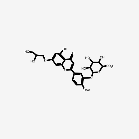 COc1ccc(-c2cc(=O)c3c(O)cc(OCC(O)CO)cc3o2)cc1OC1OC(C(=O)O)C(O)C(O)C1O